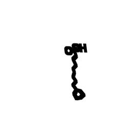 O=C(O)C=CCCCCCCc1ccccc1